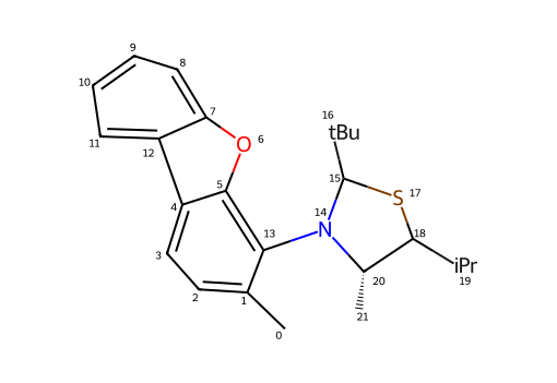 Cc1ccc2c(oc3ccccc32)c1N1C(C(C)(C)C)SC(C(C)C)[C@@H]1C